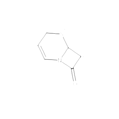 O=C1[CH]C2SCC=CN12